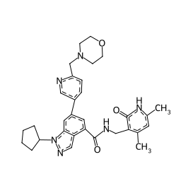 Cc1cc(C)c(CNC(=O)c2cc(-c3ccc(CN4CCOCC4)nc3)cc3c2cnn3C2CCCC2)c(=O)[nH]1